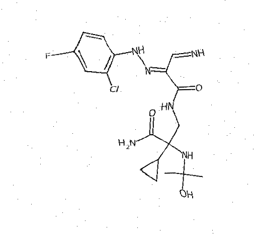 CC(C)(O)NC(CNC(=O)/C(C=N)=N/Nc1ccc(F)cc1Cl)(C(N)=O)C1CC1